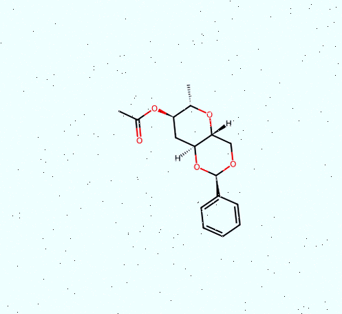 CC(=O)O[C@@H]1C[C@@H]2O[C@H](c3ccccc3)OC[C@H]2O[C@H]1C